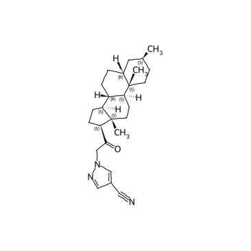 C[C@H]1CC[C@@]2(C)[C@H](CC[C@@H]3[C@@H]2CC[C@]2(C)[C@@H](C(=O)Cn4cc(C#N)cn4)CC[C@@H]32)C1